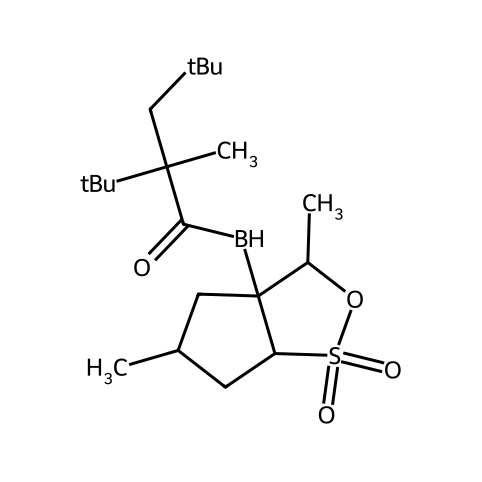 CC1CC2C(BC(=O)C(C)(CC(C)(C)C)C(C)(C)C)(C1)C(C)OS2(=O)=O